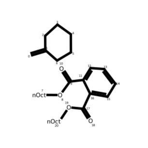 C=C1CCCCC1.CCCCCCCCOC(=O)c1ccccc1C(=O)OCCCCCCCC